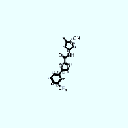 CC1CC(NC(=O)c2ncc(-c3cccc(C(F)(F)F)c3)o2)CN1C#N